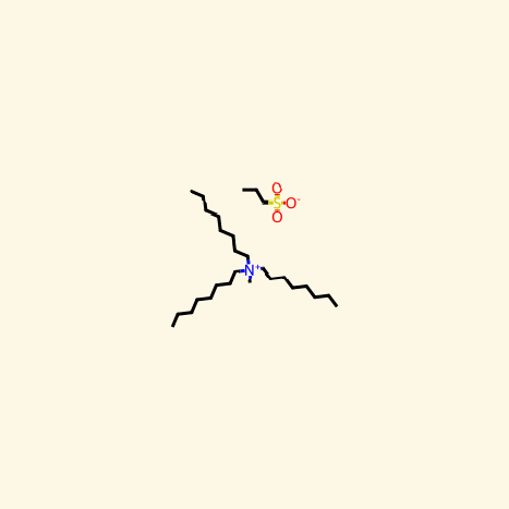 CCCCCCCC[N+](C)(CCCCCCCC)CCCCCCCC.CCCS(=O)(=O)[O-]